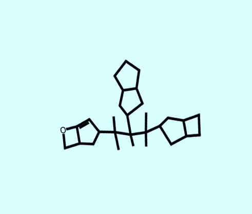 CC(C)(C1C=C2OCC2C1)C(C)(C1CC2CCCC2C1)C(C)(C)C1CC2CCC2C1